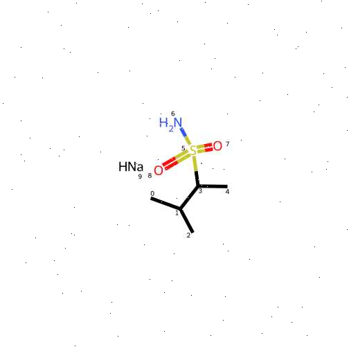 CC(C)C(C)S(N)(=O)=O.[NaH]